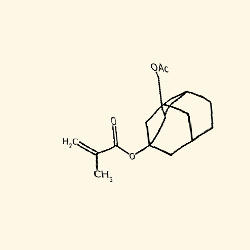 C=C(C)C(=O)OC12CC3CCC(C(C3)C1)C(OC(C)=O)C2